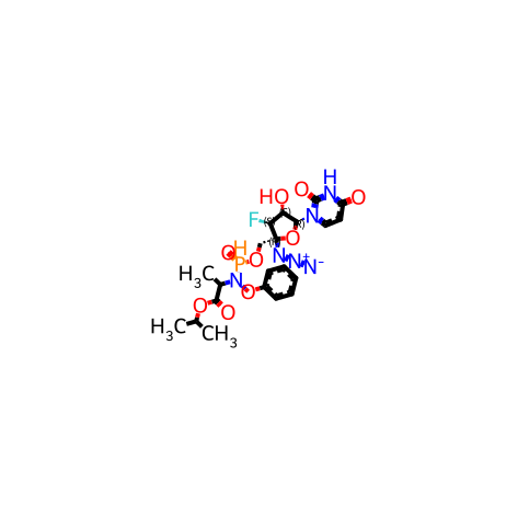 CC(C)OC(=O)C(C)N(Oc1ccccc1)[PH](=O)OC[C@@]1(N=[N+]=[N-])O[C@@H](n2ccc(=O)[nH]c2=O)[C@H](O)[C@@H]1F